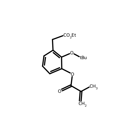 C=C(C)C(=O)Oc1cccc(CC(=O)OCC)c1OC(C)(C)C